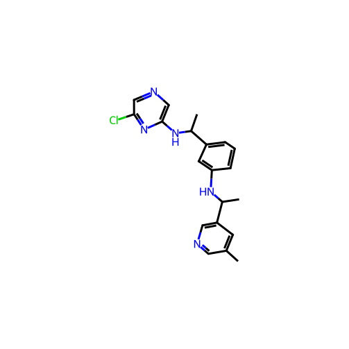 Cc1cncc(C(C)Nc2cccc(C(C)Nc3cncc(Cl)n3)c2)c1